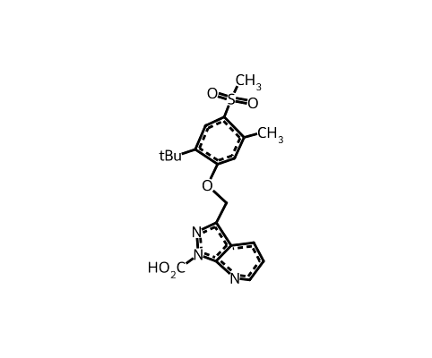 Cc1cc(OCc2nn(C(=O)O)c3ncccc23)c(C(C)(C)C)cc1S(C)(=O)=O